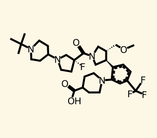 COC[C@H]1CN(C(=O)[C@@]2(F)CCN(C3CCN(C(C)(C)C)CC3)C2)C[C@@H]1c1ccc(C(F)(F)F)cc1N1CCC(C(=O)O)CC1